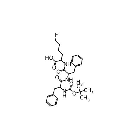 CC(C)(C)OC(=O)NC(Cc1ccccc1)C(=O)NC(Cc1ccccc1)C(=O)NC(CCCCF)C(=O)O